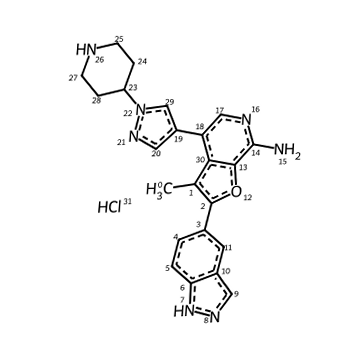 Cc1c(-c2ccc3[nH]ncc3c2)oc2c(N)ncc(-c3cnn(C4CCNCC4)c3)c12.Cl